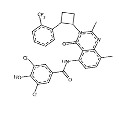 Cc1ccc(NC(=O)c2cc(Cl)c(O)c(Cl)c2)c2c(=O)n(C3CCC3c3ccccc3C(F)(F)F)c(C)nc12